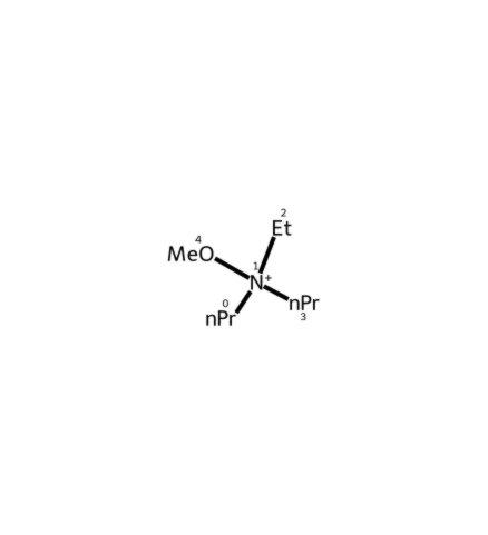 CCC[N+](CC)(CCC)OC